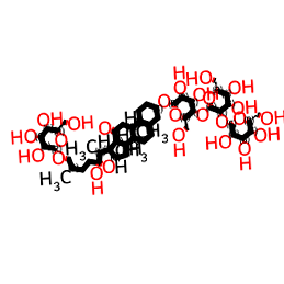 C[C@H](CCC1(O)O[C@H]2C[C@H]3[C@@H]4CC=C5C[C@@H](O[C@@H]6O[C@H](CO)[C@H](O[C@@H]7O[C@H](CO)[C@@H](O)[C@H](O)[C@H]7O[C@@H]7O[C@H](CO)[C@@H](O)[C@H](O)[C@H]7O)[C@H](O)[C@H]6O)CC[C@]5(C)[C@H]4CC(=O)[C@]3(C)[C@H]2[C@@H]1C)CO[C@@H]1O[C@H](CO)[C@@H](O)[C@H](O)[C@H]1O